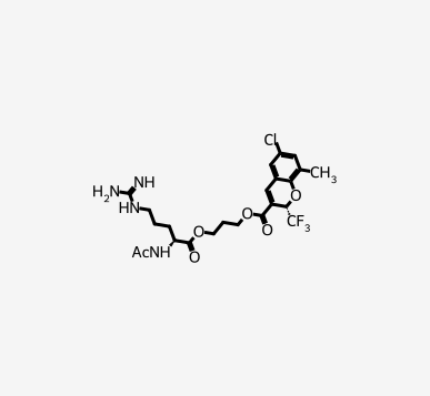 CC(=O)N[C@@H](CCCNC(=N)N)C(=O)OCCCOC(=O)C1=Cc2cc(Cl)cc(C)c2O[C@@H]1C(F)(F)F